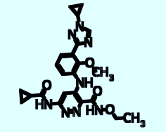 CCONC(=O)c1nnc(NC(=O)C2CC2)cc1Nc1cccc(-c2ncn(C3CC3)n2)c1OC